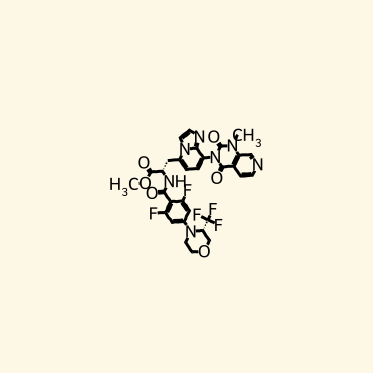 COC(=O)[C@H](Cc1ccc(-n2c(=O)c3ccncc3n(C)c2=O)c2nccn12)NC(=O)c1c(F)cc(N2CCOC[C@H]2C(F)(F)F)cc1F